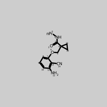 CCCNC(=O)C1(COc2cccc(N)c2C#N)CC1